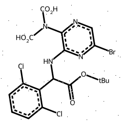 CC(C)(C)OC(=O)C(Nc1nc(Br)cnc1N(C(=O)O)C(=O)O)c1c(Cl)cccc1Cl